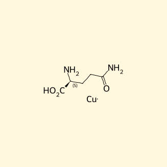 NC(=O)CC[C@H](N)C(=O)O.[Cu]